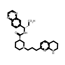 O=C(O)C[C@H](NC(=O)[C@@H]1CCCN(CCCc2ccc3c(n2)NCCC3)C1)c1ccc2nccnc2c1